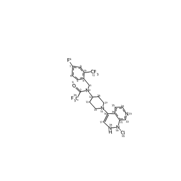 O=C(N(Cc1ccc(F)cc1C(F)(F)F)C1CCN(C2=CNN(Cl)c3cnccc32)CC1)C(F)(F)F